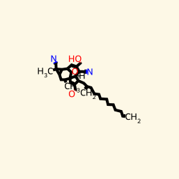 C=CCCCCCCCCCC(=C)CC1C(C=O)=CC23C(=O)C(C=C(CO)C(C#N)[C@@H]12)C1C(CC3C)C1(C)C#N